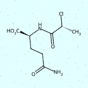 C[C@@H](Cl)C(=O)N[C@@H](CCC(N)=O)C(=O)O